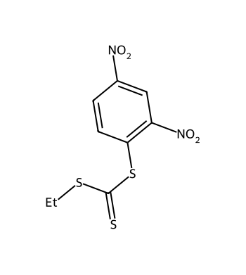 CCSC(=S)Sc1ccc([N+](=O)[O-])cc1[N+](=O)[O-]